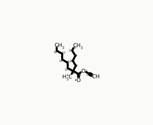 C#COC(=O)C(C)(CCCCC)CCCCCC